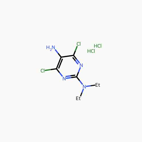 CCN(CC)c1nc(Cl)c(N)c(Cl)n1.Cl.Cl